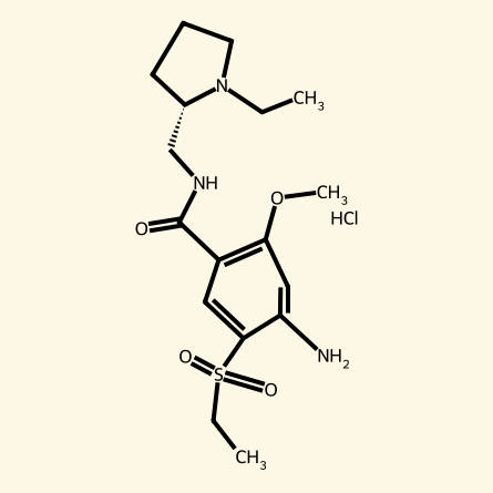 CCN1CCC[C@H]1CNC(=O)c1cc(S(=O)(=O)CC)c(N)cc1OC.Cl